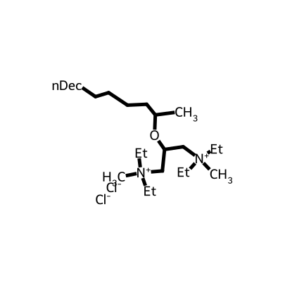 CCCCCCCCCCCCCCC(C)OC(C[N+](C)(CC)CC)C[N+](C)(CC)CC.[Cl-].[Cl-]